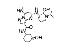 CNc1cc(NC2=CC=CN(C(C)C)C2O)nc2c(C(=O)NC3CCC[C@H](O)C3)cnn12